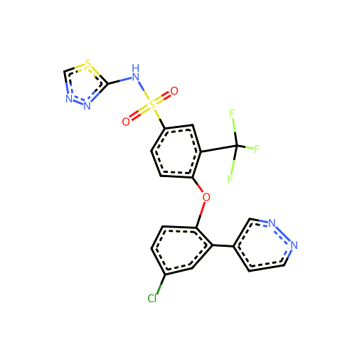 O=S(=O)(Nc1nncs1)c1ccc(Oc2ccc(Cl)cc2-c2ccnnc2)c(C(F)(F)F)c1